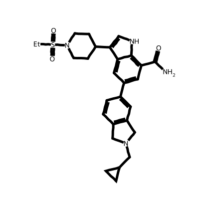 CCS(=O)(=O)N1CCC(c2c[nH]c3c(C(N)=O)cc(-c4ccc5c(c4)CN(CC4CC4)C5)cc23)CC1